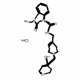 CC(C)n1c(=O)n(C(=O)NCC2CCN(CC3(O)CCOCC3)CC2)c2ccccc21.Cl